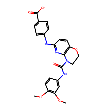 COc1ccc(NC(=O)N2CCOc3ccc(Nc4ccc(C(=O)O)cc4)nc32)cc1OC